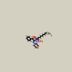 CCCCCCCC[C@H](O)C(=O)N[C@@H](CN1CCOCC1)[C@@H](O)c1ccccc1